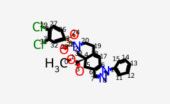 COC(=O)[C@]12Cc3cnn(-c4ccccc4)c3C=C1CCN(S(=O)(=O)c1ccc(Cl)c(Cl)c1)C2